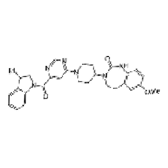 CCC1CN(C(=O)c2cc(N3CCC(N4CCc5cc(OC)ccc5NC4=O)CC3)ncn2)c2ccccc21